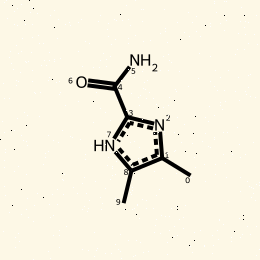 Cc1nc(C(N)=O)[nH]c1C